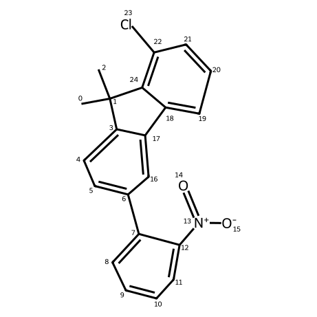 CC1(C)c2ccc(-c3ccccc3[N+](=O)[O-])cc2-c2cccc(Cl)c21